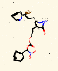 O=C(OCC[C@@H]1C(=O)N[C@H]1CCC(=S)c1ccccn1)OC(c1ccccc1)[N+](=O)[O-]